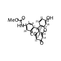 COC(=O)Nc1ccc(-c2c3ccc(=O)cc-3oc3cc(O)ccc23)c(C(=O)O)c1